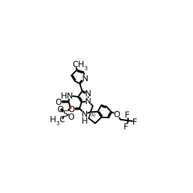 Cc1ccc(-c2nn3c(c2NC(=O)CS(C)(=O)=O)C(=O)N[C@]2(CCc4cc(OCC(F)(F)F)ccc42)C3)nc1